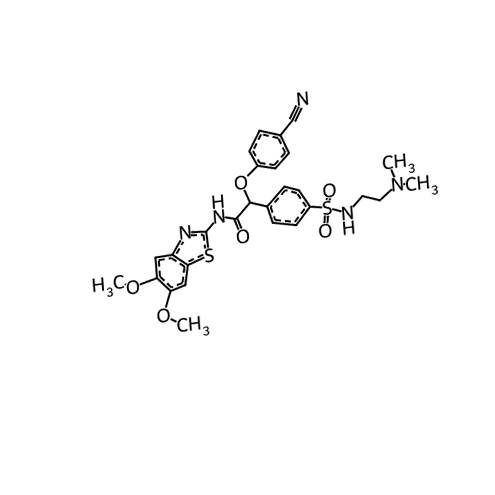 COc1cc2nc(NC(=O)C(Oc3ccc(C#N)cc3)c3ccc(S(=O)(=O)NCCN(C)C)cc3)sc2cc1OC